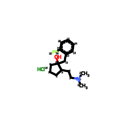 CN(C)CCC1CCCC1(O)Cc1ccccc1F.Cl